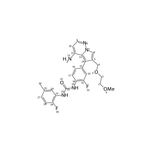 COCCOCc1cn2nccc(N)c2c1-c1ccc(NC(=O)Nc2cc(C)ccc2F)c(F)c1